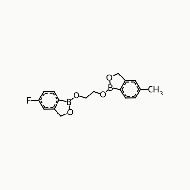 Cc1ccc2c(c1)COB2OCCOB1OCc2cc(F)ccc21